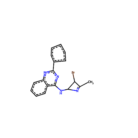 CC1=NC(Nc2nc(-c3ccccc3)nc3ccccc23)C1Br